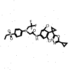 CCS(=O)(=O)c1ccc(N(CC(=O)Nc2cc(Cl)c(C3(c4nnc(C5CC5)o4)CC3)c(Cl)c2)CC(F)(F)F)cc1